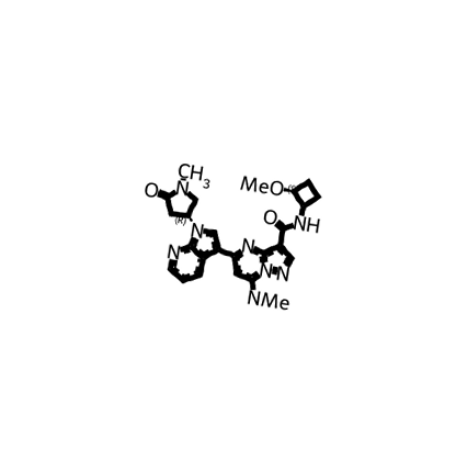 CNc1cc(-c2cn([C@@H]3CC(=O)N(C)C3)c3ncccc23)nc2c(C(=O)NC3CC[C@@H]3OC)cnn12